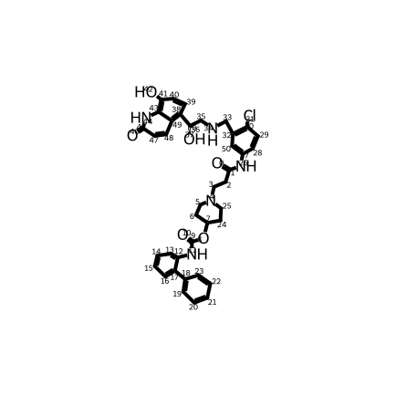 O=C(CCN1CCC(OC(=O)Nc2ccccc2-c2ccccc2)CC1)Nc1ccc(Cl)c(CNC[C@H](O)c2ccc(O)c3[nH]c(=O)ccc23)c1